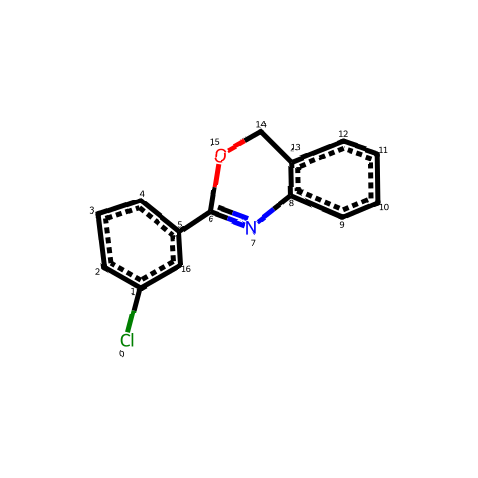 Clc1cccc(C2=Nc3ccccc3CO2)c1